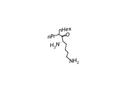 CCCCCCC(CCC)C(=O)[C@@H](N)CCCCN